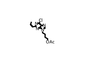 C/C=C\c1nc(Cl)c2ncn(CCCCOC(C)=O)c2n1